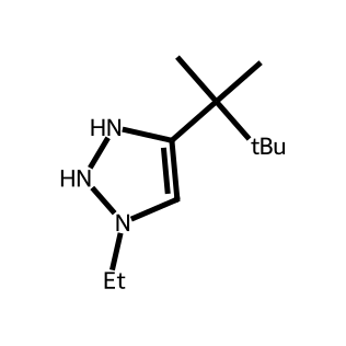 CCN1C=C(C(C)(C)C(C)(C)C)NN1